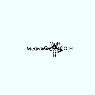 COCCOCCOCCOc1cccc(C2=N[C@@](C)(C(=O)O)CS2)c1O.[MgH2]